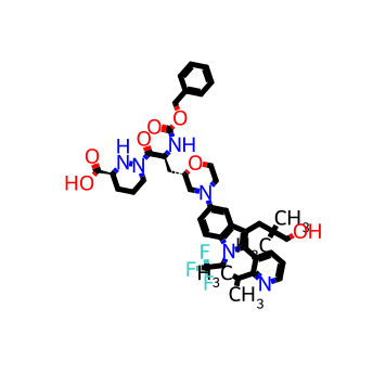 CC(C)c1ncccc1-c1c(CC(C)(C)CO)c2cc(N3CCO[C@@H](C[C@H](NC(=O)OCc4ccccc4)C(=O)N4CCC[C@@H](C(=O)O)N4)C3)ccc2n1CC(F)(F)F